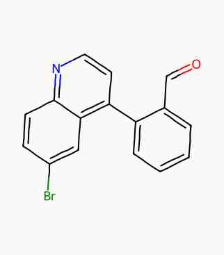 O=Cc1ccccc1-c1ccnc2ccc(Br)cc12